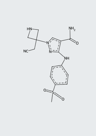 CS(=O)(=O)c1ccc(Nc2nn(C3(CC#N)CNC3)cc2C(N)=O)cc1